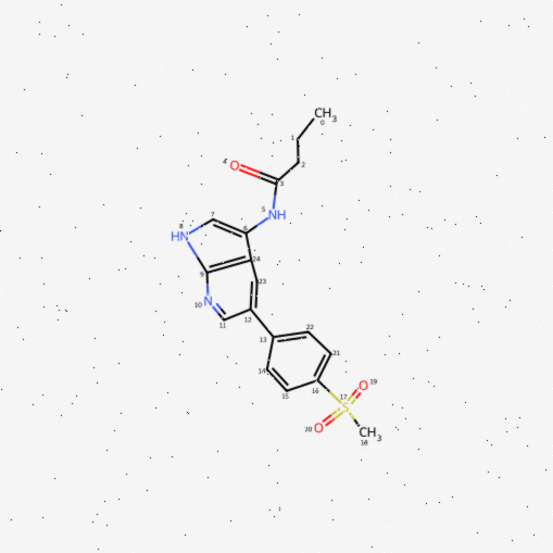 CCCC(=O)Nc1c[nH]c2ncc(-c3ccc(S(C)(=O)=O)cc3)cc12